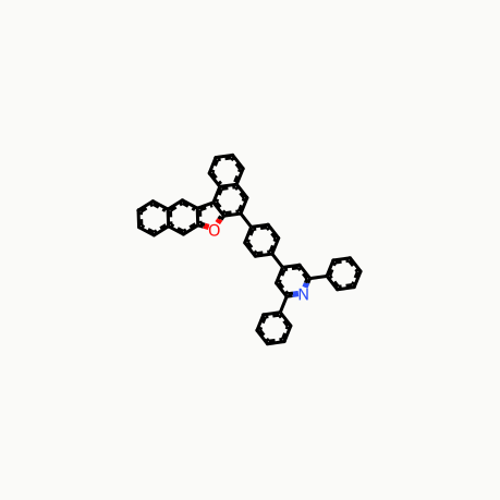 c1ccc(-c2cc(-c3ccc(-c4cc5ccccc5c5c4oc4cc6ccccc6cc45)cc3)cc(-c3ccccc3)n2)cc1